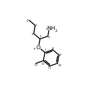 CCCC(CN)Oc1ccccc1C